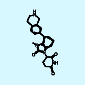 Cn1c(=O)n(C2CCC(=O)NC2=O)c2cccc(-c3ccc4c(c3)CNCC4)c21